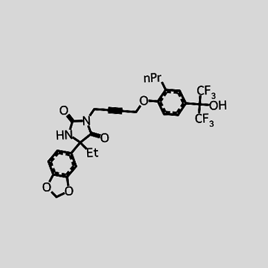 CCCc1cc(C(O)(C(F)(F)F)C(F)(F)F)ccc1OCC#CCN1C(=O)NC(CC)(c2ccc3c(c2)OCO3)C1=O